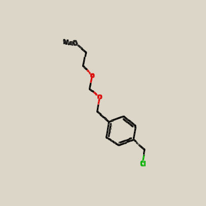 COCCOCOCc1ccc(CCl)cc1